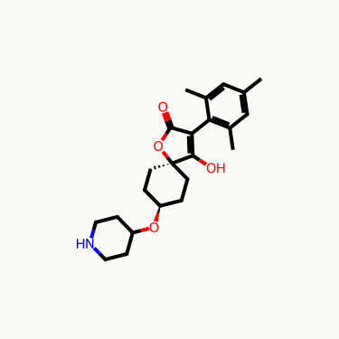 Cc1cc(C)c(C2=C(O)[C@]3(CC[C@H](OC4CCNCC4)CC3)OC2=O)c(C)c1